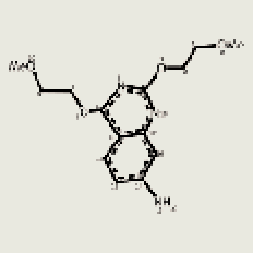 COCCOc1nc(OCCOC)c2ccc(N)cc2n1